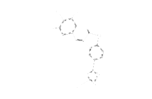 Cc1nnc(-c2ccc3c(c2)C(=Cc2cc(Br)c(O)c(Br)c2)C(=O)N3)o1